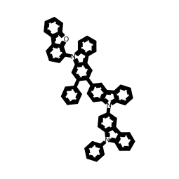 c1ccc(-c2cc3c(cc2-c2ccc4c(c2)c2ccccc2n4-c2ccc4c(c2)c2ccccc2n4-c2ccccc2)c2ccccc2n3-c2cccc3c2oc2ccccc23)cc1